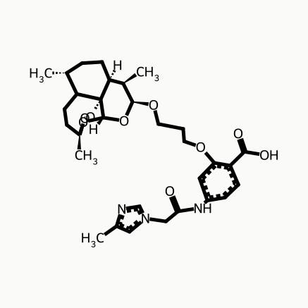 Cc1cn(CC(=O)Nc2ccc(C(=O)O)c(OCCCO[C@H]3O[C@@H]4O[C@@]5(C)CCC6[C@H](C)CC[C@@H]([C@H]3C)[C@]64OO5)c2)cn1